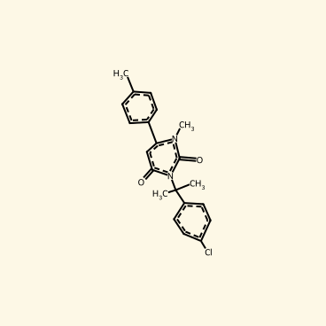 Cc1ccc(-c2cc(=O)n(C(C)(C)c3ccc(Cl)cc3)c(=O)n2C)cc1